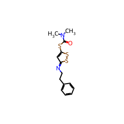 CN(C)C(=O)Sc1cc(=NCCc2ccccc2)ss1